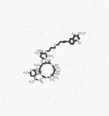 CC[C@H]1OC(=O)[C@H](C)[C@@H](O[C@H]2C[C@@](C)(OC)[C@@H](OCCCOCCC#Cc3ccc4c(c3)c(=O)c(C(=O)O)cn4CC)[C@H](C)O2)[C@H](C)[C@@H](O[C@@H]2O[C@H](C)C[C@H](N(C)C)[C@H]2O)[C@](C)(O)C[C@@H](C)CN(C)[C@H](C)[C@@H](O)[C@]1(C)O